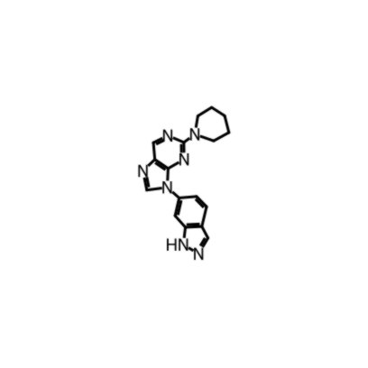 c1cc2cn[nH]c2cc1-n1cnc2cnc(N3CCCCC3)nc21